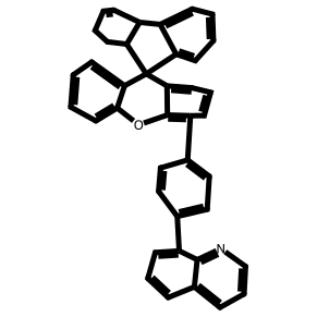 C1=CC2c3ccccc3C3(c4ccccc4Oc4c(-c5ccc(-c6cccc7cccnc67)cc5)cccc43)C2CC1